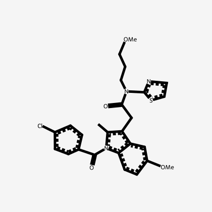 COCCCN(C(=O)Cc1c(C)n(C(=O)c2ccc(Cl)cc2)c2ccc(OC)cc12)c1nccs1